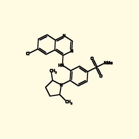 CNS(=O)(=O)c1ccc(N2C(C)CCC2C)c(Nc2ncnc3ccc(Cl)cc23)c1